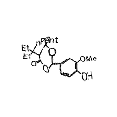 CCCCCC(CC)(CC)C1C(=O)OC(c2ccc(O)c(OC)c2)OC1=O